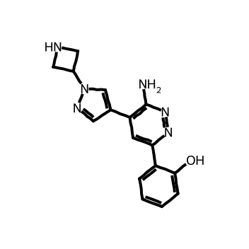 Nc1nnc(-c2ccccc2O)cc1-c1cnn(C2CNC2)c1